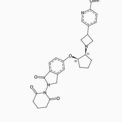 COc1ccc(C2CN([C@H]3CCC[C@H]3Oc3ccc4c(c3)CN(N3C(=O)CCCC3=O)C4=O)C2)cn1